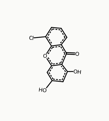 O=c1c2cccc(Cl)c2oc2cc(O)cc(O)c12